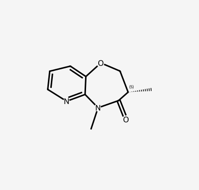 C[C@H]1COc2cccnc2N(C)C1=O